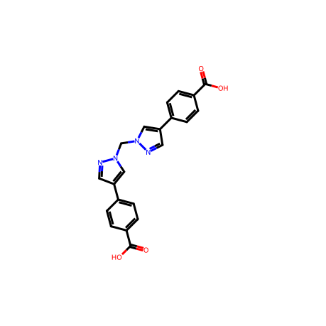 O=C(O)c1ccc(-c2cnn(Cn3cc(-c4ccc(C(=O)O)cc4)cn3)c2)cc1